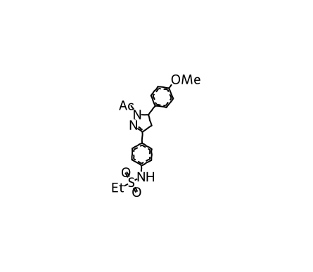 CCS(=O)(=O)Nc1ccc(C2=NN(C(C)=O)C(c3ccc(OC)cc3)C2)cc1